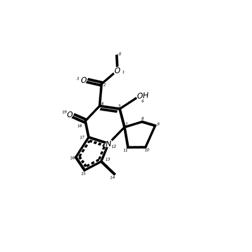 COC(=O)C1=C(O)C2(CCCC2)n2c(C)ccc2C1=O